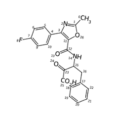 Cc1nc(-c2ccc(F)cc2)c(C(=O)NC(Cc2ccccc2)C(=O)C(=O)O)o1